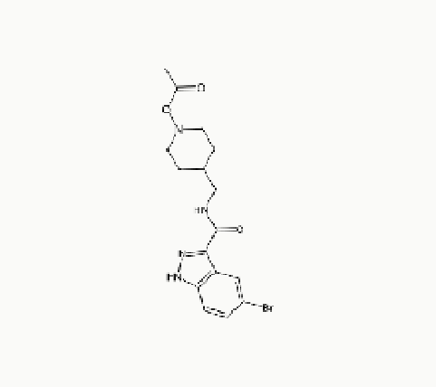 CC(=O)ON1CCC(CNC(=O)c2n[nH]c3ccc(Br)cc23)CC1